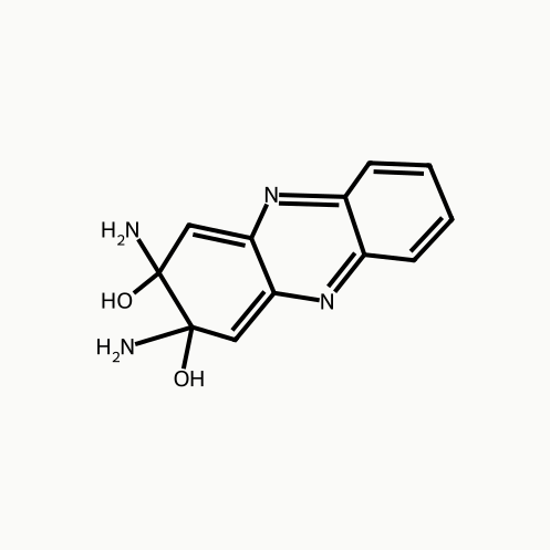 NC1(O)C=c2nc3ccccc3nc2=CC1(N)O